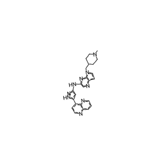 CN1CCC(Cn2ccc3ncc(Nc4cc(-c5ccnc6cccnc56)[nH]n4)nc32)CC1